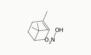 CC1=C2CC(CC1)C2(C)C.O=[N+]([O-])O